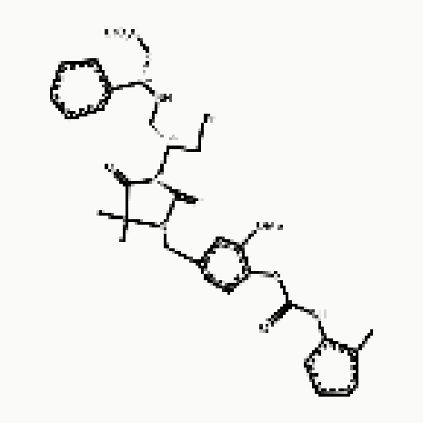 CCOC(=O)C[C@H](NC[C@H](CC(C)C)N1C(=O)N(Cc2ccc(NC(=O)Nc3ccccc3C)c(OC)c2)C(C)(C)C1=O)c1ccccc1